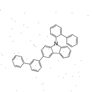 c1ccc(-c2cccc(-c3ccc4c(c3)c3ccccc3n4-c3ccccc3-c3ccccc3)c2)cc1